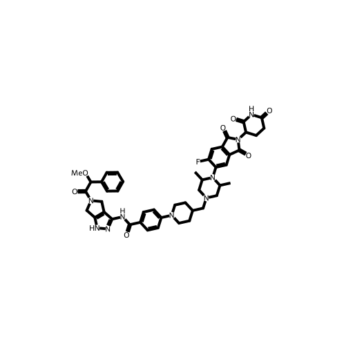 COC(C(=O)N1Cc2[nH]nc(NC(=O)c3ccc(N4CCC(CN5CC(C)N(c6cc7c(cc6F)C(=O)N(C6CCC(=O)NC6=O)C7=O)C(C)C5)CC4)cc3)c2C1)c1ccccc1